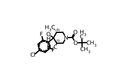 C[C@@H]1CN(C(=O)OC(C)(C)C)C[C@H](C)C1(O)c1c(F)cc(Cl)cc1F